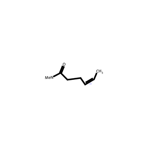 C/C=C\CCC(=O)NC